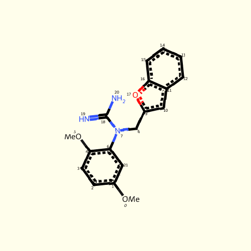 COc1ccc(OC)c(N(Cc2cc3ccccc3o2)C(=N)N)c1